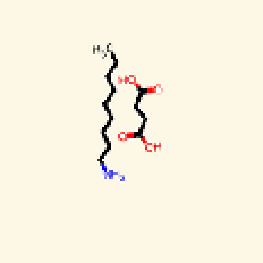 CCCCCCCCCN.O=C(O)CCC(=O)O